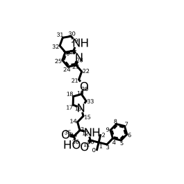 CC(C)(Cc1ccccc1)C(=O)NC(CCN1CC[C@@H](OCCc2ccc3c(n2)NCCC3)C1)C(=O)O